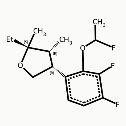 CC[C@]1(C)OC[C@@H](c2ccc(F)c(F)c2OC(C)F)[C@H]1C